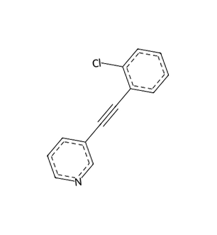 Clc1ccccc1C#Cc1cccnc1